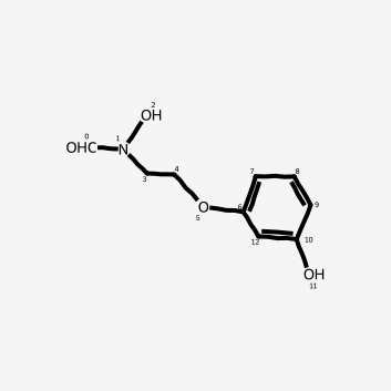 O=CN(O)CCOc1cccc(O)c1